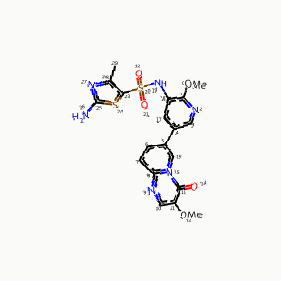 COc1ncc(-c2ccc3ncc(OC)c(=O)n3c2)cc1NS(=O)(=O)c1sc(N)nc1C